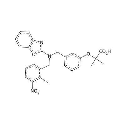 Cc1c(CN(Cc2cccc(OC(C)(C)C(=O)O)c2)c2nc3ccccc3o2)cccc1[N+](=O)[O-]